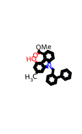 COC(=O)c1cccc2c1c1c(O)cc(C)cc1n2Cc1ccccc1-c1ccccc1